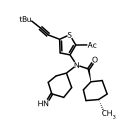 CC(=O)c1sc(C#CC(C)(C)C)cc1N(C(=O)[C@H]1CC[C@H](C)CC1)C1CCC(=N)CC1